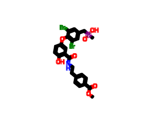 COC(=O)c1ccc(CCNC(=O)c2cc(Oc3c(Br)cc(CP(C)(=O)O)cc3Br)ccc2O)cc1